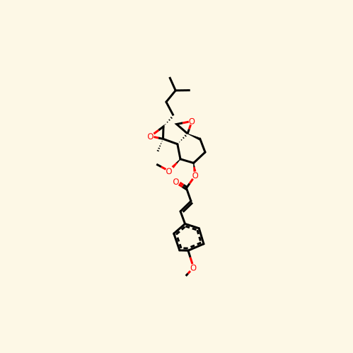 COc1ccc(C=CC(=O)O[C@@H]2CC[C@]3(CO3)[C@@H]([C@@]3(C)O[C@@H]3CCC(C)C)[C@@H]2OC)cc1